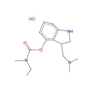 CCN(C)C(=O)Oc1cccc2c1C(CN(C)C)CN2.Cl